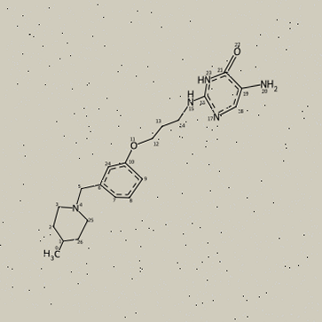 CC1CCN(Cc2cccc(OCCCNc3ncc(N)c(=O)[nH]3)c2)CC1